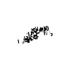 CC1(C)CC[C@@H](COc2cccc(-c3cn([C@H]4C[C@H](CN5CCCC5C(N)=O)C4)c4ncnc(N)c34)c2)O1